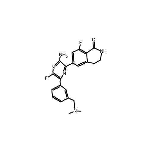 CN(C)Cc1cccc(-c2nc(-c3cc(F)c4c(c3)CCNC4=O)c(N)nc2F)c1